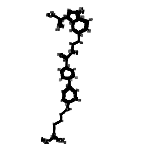 CN(C)CCCOc1ccc(-c2ccc(C(=O)NCCc3ccc4[nH]cc(C(=N)N)c4c3)cc2)cn1